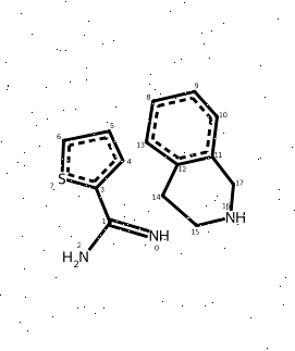 N=C(N)c1cccs1.c1ccc2c(c1)CCNC2